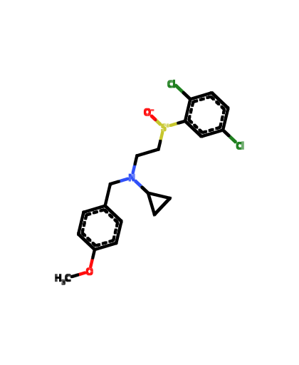 COc1ccc(CN(CC[S+]([O-])c2cc(Cl)ccc2Cl)C2CC2)cc1